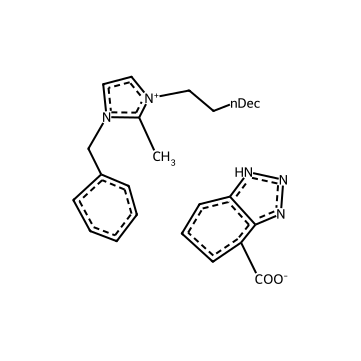 CCCCCCCCCCCC[n+]1ccn(Cc2ccccc2)c1C.O=C([O-])c1cccc2[nH]nnc12